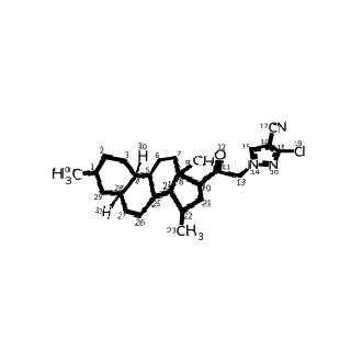 CC1CC[C@@H]2C3CCC4(C)C(C(=O)Cn5cc(C#N)c(Cl)n5)CC(C)C4C3CC[C@@H]2C1